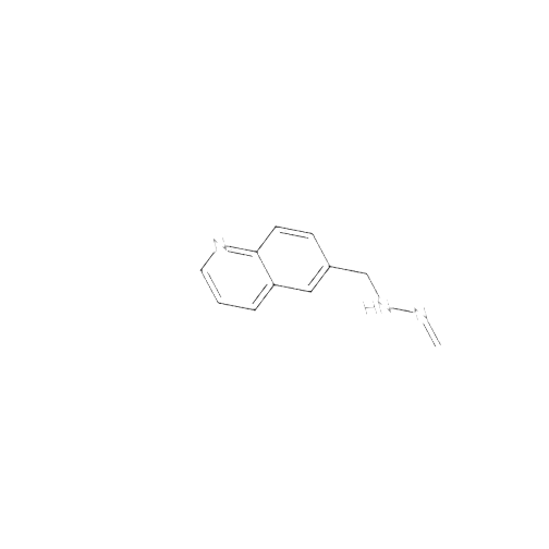 C=NNCc1ccc2ncccc2c1